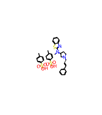 CN(c1nc2ccccc2s1)C1CCN(C/C=C/c2ccccc2)C1.Cc1ccc(S(=O)(=O)O)cc1.Cc1ccc(S(=O)(=O)O)cc1